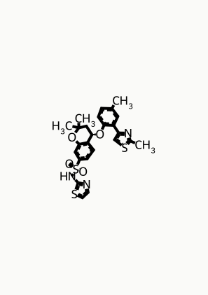 Cc1ccc(O[C@@H]2CC(C)(C)Oc3cc(S(=O)(=O)Nc4nccs4)ccc32)c(-c2csc(C)n2)c1